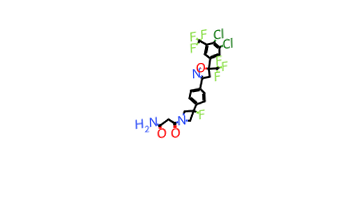 NC(=O)CC(=O)N1CC(F)(c2ccc(C3=NOC(c4cc(Cl)c(Cl)c(C(F)(F)F)c4)(C(F)(F)F)C3)cc2)C1